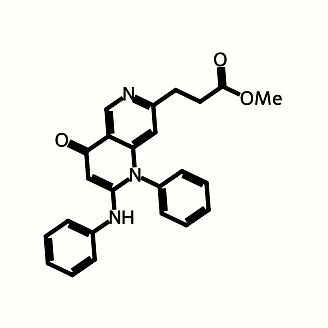 COC(=O)CCc1cc2c(cn1)c(=O)cc(Nc1ccccc1)n2-c1ccccc1